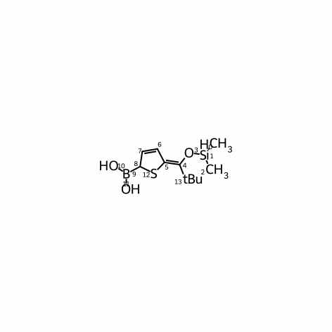 C[SiH](C)OC(=C1C=CC(B(O)O)S1)C(C)(C)C